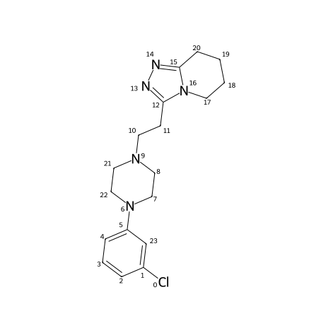 Clc1cccc(N2CCN(CCc3nnc4n3CCCC4)CC2)c1